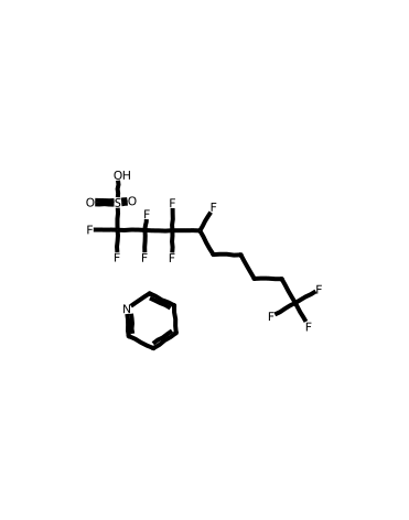 O=S(=O)(O)C(F)(F)C(F)(F)C(F)(F)C(F)CCCCC(F)(F)F.c1ccncc1